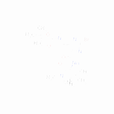 CN(C)C(=O)[C@@H](NC(=O)c1nc(Br)n2c1CN(C(=O)OC(C)(C)C)CCC2)C(C)(C)C